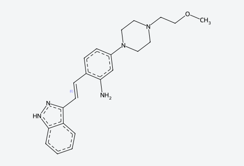 COCCN1CCN(c2ccc(/C=C/c3n[nH]c4ccccc34)c(N)c2)CC1